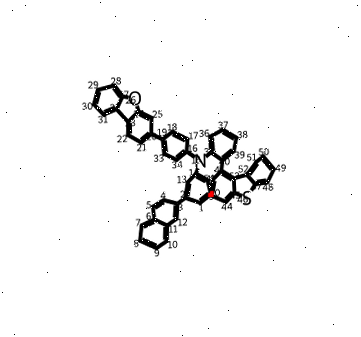 c1cc(-c2ccc3ccccc3c2)cc(N(c2ccc(-c3ccc4c(c3)oc3ccccc34)cc2)c2ccccc2-c2cccc3sc4ccccc4c23)c1